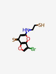 S=c1cc(NCCS)oc2c(Br)coc12